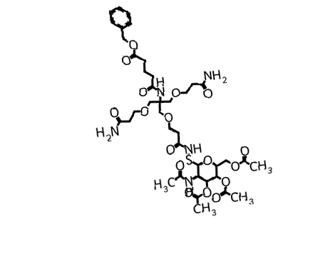 CC(=O)NC1C(SNC(=O)CCOCC(COCCC(N)=O)(COCCC(N)=O)NC(=O)CCCC(=O)OCc2ccccc2)OC(COC(C)=O)C(OC(C)=O)C1OC(C)=O